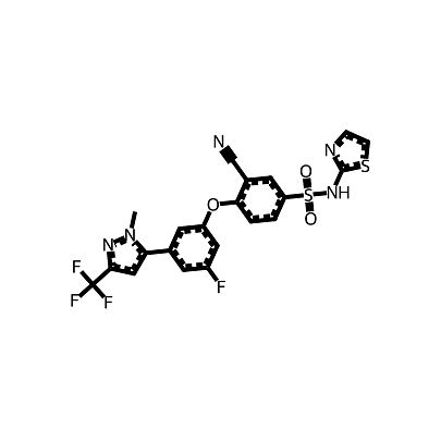 Cn1nc(C(F)(F)F)cc1-c1cc(F)cc(Oc2ccc(S(=O)(=O)Nc3nccs3)cc2C#N)c1